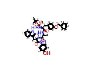 C[C@H](NC(=O)[C@H](Cc1ccc(OCc2ccccc2)cc1)NC(=O)OC(C)(C)C)C(=O)N[C@@H](Cc1c[nH]c2ccccc12)C(=O)Nc1ccc(O)cc1